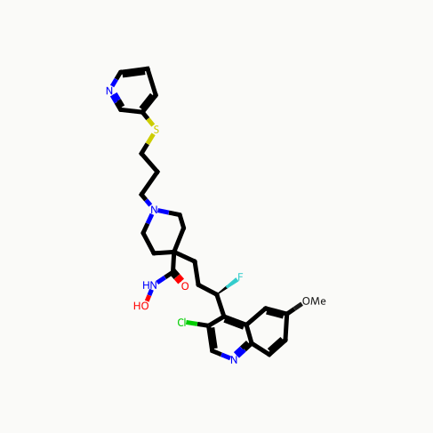 COc1ccc2ncc(Cl)c([C@H](F)CCC3(C(=O)NO)CCN(CCCSc4cccnc4)CC3)c2c1